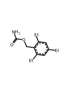 CCc1cc(CC)c(COC(N)=O)c(CC)c1